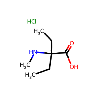 CCC(CC)(NC)C(=O)O.Cl